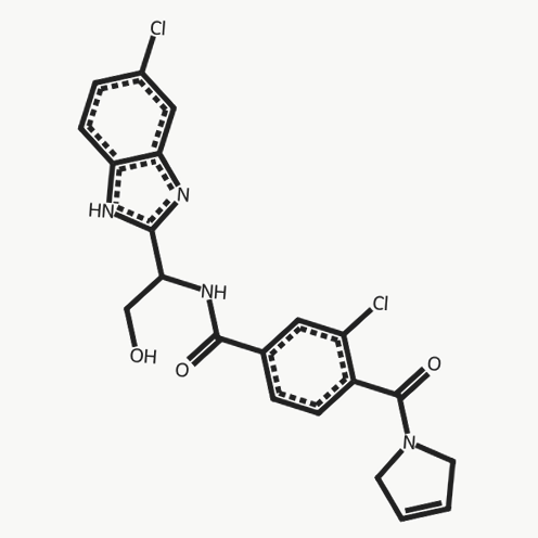 O=C(NC(CO)c1nc2cc(Cl)ccc2[nH]1)c1ccc(C(=O)N2CC=CC2)c(Cl)c1